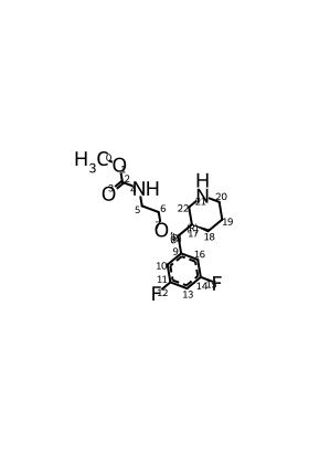 COC(=O)NCCO[C@@H](c1cc(F)cc(F)c1)[C@@H]1CCCNC1